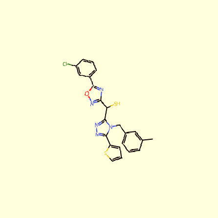 Cc1cccc(Cn2c(-c3cccs3)nnc2C(S)c2noc(-c3cccc(Cl)c3)n2)c1